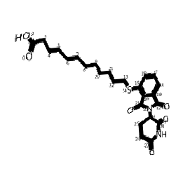 O=C(O)CCCCCCCCCCCSc1cccc2c1C(=O)N(C1CCC(=O)NC1=O)C2=O